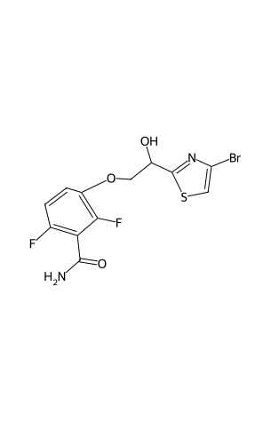 NC(=O)c1c(F)ccc(OCC(O)c2nc(Br)cs2)c1F